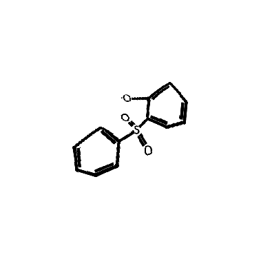 [O]c1ccccc1S(=O)(=O)c1ccccc1